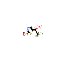 OC(c1cnc(Br)s1)C(F)F